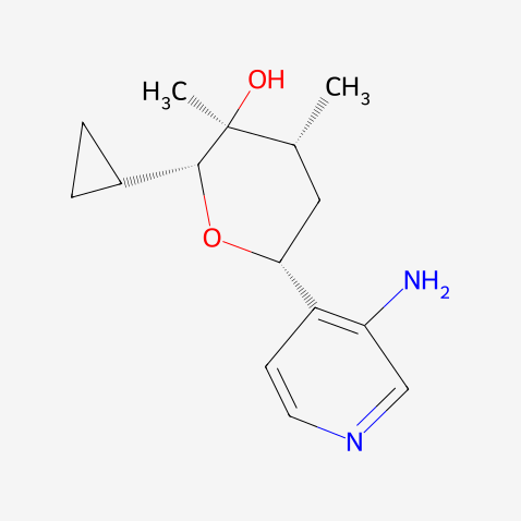 C[C@@H]1C[C@H](c2ccncc2N)O[C@H](C2CC2)[C@@]1(C)O